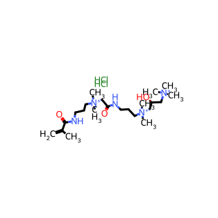 C=C(C)C(=O)NCCC[N+](C)(C)CC(=O)NCCC[N+](C)(C)CC(O)C[N+](C)(C)C.Cl.Cl